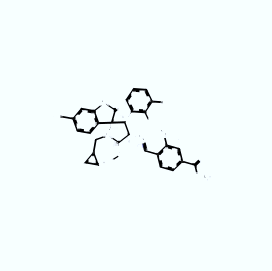 COC(=O)c1ccc(/C=N/[C@@H]2[C@H](CO)N(CC3CC3)[C@@]3(C(=O)Nc4cc(Cl)ccc43)[C@H]2c2cccc(Cl)c2F)c([N+](=O)[O-])c1